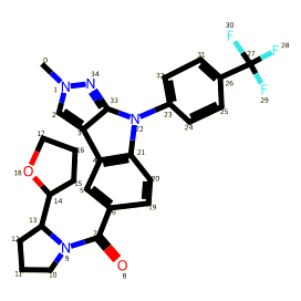 Cn1cc2c3cc(C(=O)N4CCCC4C4CCCO4)ccc3n(-c3ccc(C(F)(F)F)cc3)c2n1